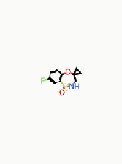 [O-][S+]1NCC2(CC2)Oc2ccc(F)cc21